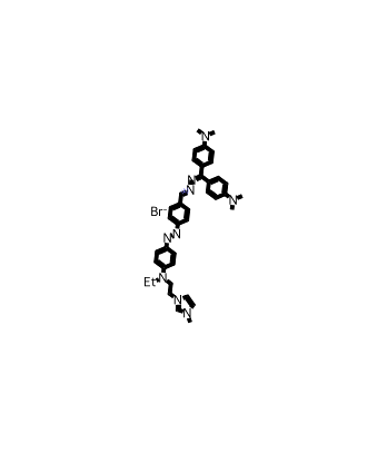 CCN(CC[n+]1ccn(C)c1)c1ccc(N=Nc2ccc(/C=N/N=C(c3ccc(N(C)C)cc3)c3ccc(N(C)C)cc3)cc2)cc1.[Br-]